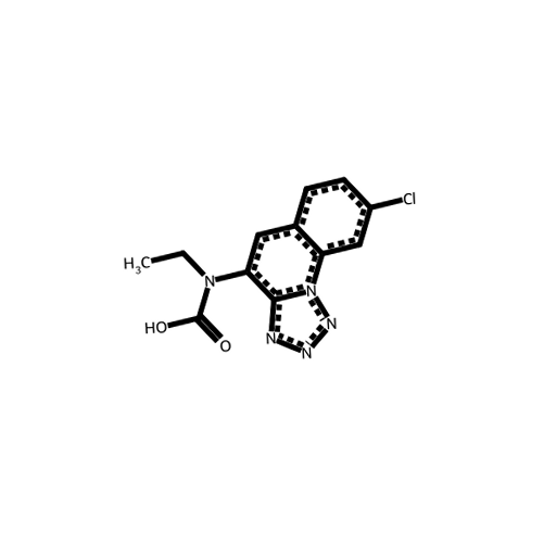 CCN(C(=O)O)c1cc2ccc(Cl)cc2n2nnnc12